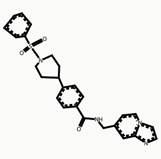 O=C(NCc1ccn2ccnc2c1)c1ccc(C2CCN(S(=O)(=O)c3ccccc3)CC2)cc1